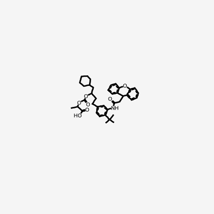 CC(OC(=O)OC(CCc1ccc(C(C)(C)C)c(NC(=O)CC2c3ccccc3Oc3ccccc32)c1)CC1CCCCC1)C(=O)O